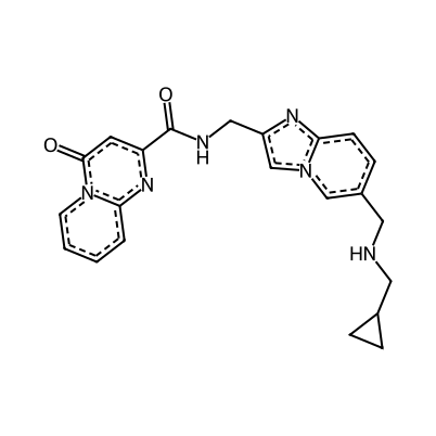 O=C(NCc1cn2cc(CNCC3CC3)ccc2n1)c1cc(=O)n2ccccc2n1